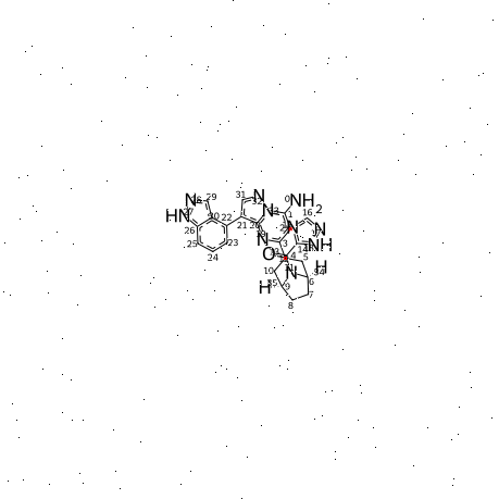 Nc1cc(C2C[C@H]3CC[C@@H](C2)N3C(=O)c2ncn[nH]2)nc2c(-c3cccc4[nH]ncc34)cnn12